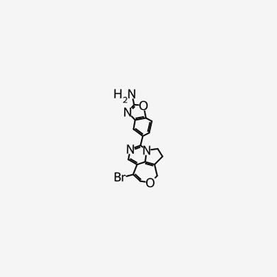 Nc1nc2cc(C3=NC=C4C(Br)=COCC5=C4N3CC5)ccc2o1